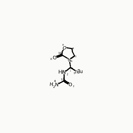 CCCCC(NC(N)=O)N1CCOC1=O